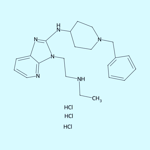 CCNCCn1c(NC2CCN(Cc3ccccc3)CC2)nc2cccnc21.Cl.Cl.Cl